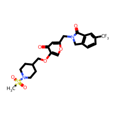 CS(=O)(=O)N1CCC(COc2coc(CN3Cc4ccc(C(F)(F)F)cc4C3=O)cc2=O)CC1